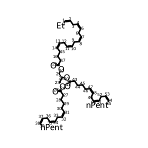 CC/C=C\C/C=C\C/C=C\C/C=C\C/C=C\CCCC(=O)OC[C@H](COC(=O)CCCC/C=C\C/C=C\C/C=C\CCCCC)OC(=O)CCCC/C=C\C/C=C\C/C=C\CCCCC